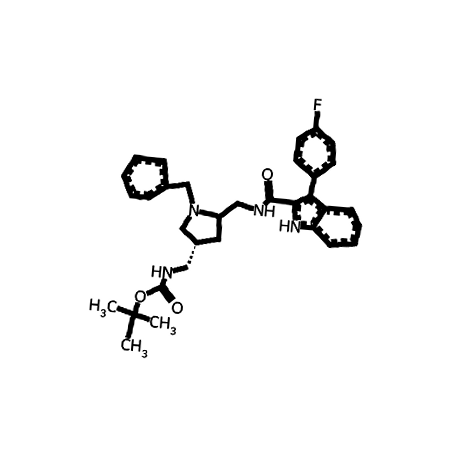 CC(C)(C)OC(=O)NC[C@H]1CC(CNC(=O)c2[nH]c3ccccc3c2-c2ccc(F)cc2)N(Cc2ccccc2)C1